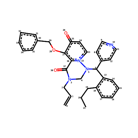 C=CCN1CN(C(c2ccncc2)c2ccccc2CCC)n2ccc(=O)c(OCc3ccccc3)c2C1=O